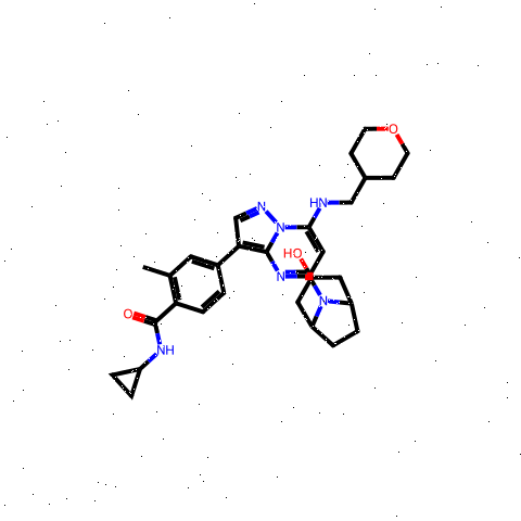 Cc1cc(-c2cnn3c(NCC4CCOCC4)cc(N4C5CCC4CC(O)C5)nc23)ccc1C(=O)NC1CC1